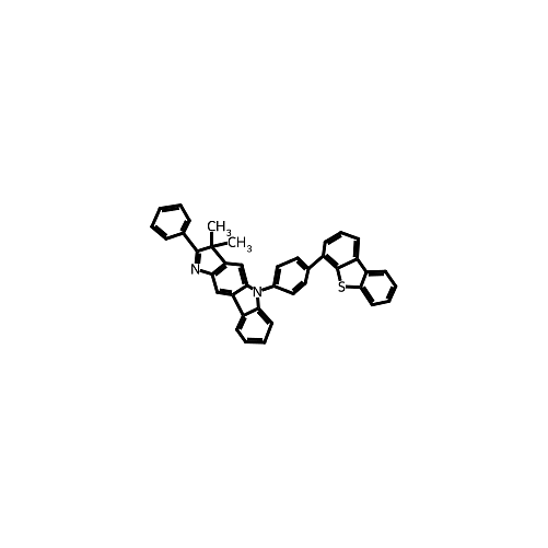 CC1(C)C(c2ccccc2)=Nc2cc3c4ccccc4n(-c4ccc(-c5cccc6c5sc5ccccc56)cc4)c3cc21